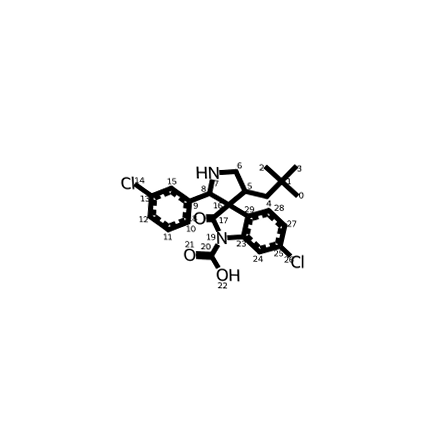 CC(C)(C)CC1CNC(c2cccc(Cl)c2)C12C(=O)N(C(=O)O)c1cc(Cl)ccc12